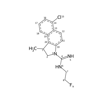 CC1CN(C(=N)NCCF)c2ccc3c(Cl)cccc3c21